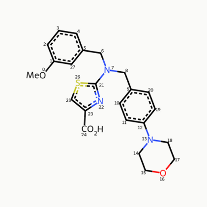 COc1cccc(CN(Cc2ccc(N3CCOCC3)cc2)c2nc(C(=O)O)cs2)c1